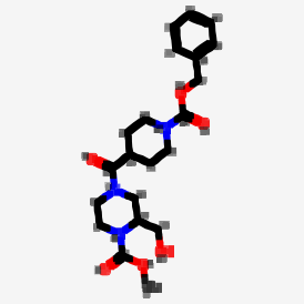 CC(C)(C)OC(=O)N1CCN(C(=O)C2CCN(C(=O)OCc3ccccc3)CC2)CC1CO